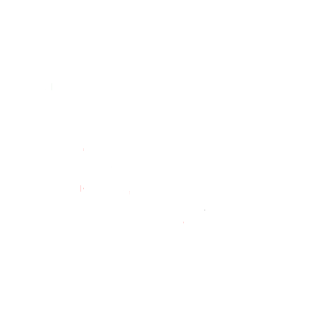 O=C(/C=C/c1cccc(CCCl)c1S(=O)(=O)O)c1ccccc1